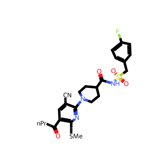 CCCC(=O)c1cc(C#N)c(N2CCC(C(=O)NS(=O)(=O)Cc3ccc(F)cc3)CC2)nc1SC